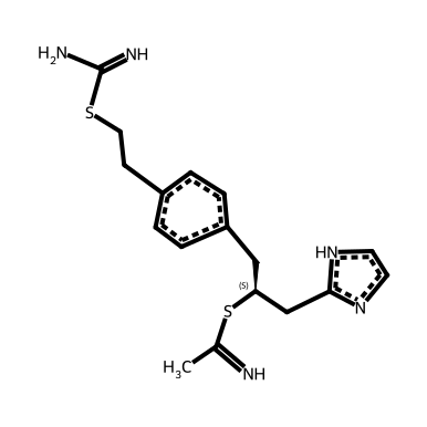 CC(=N)S[C@@H](Cc1ccc(CCSC(=N)N)cc1)Cc1ncc[nH]1